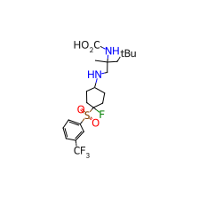 CC(C)(C)CC(C)(CNC1CCC(F)(S(=O)(=O)c2cccc(C(F)(F)F)c2)CC1)NC(=O)O